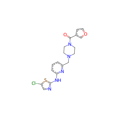 O=C(c1ccoc1)N1CCN(Cc2cccc(Nc3ncc(Cl)s3)n2)CC1